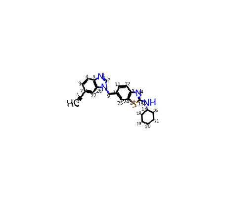 C#Cc1ccc2ncn(Cc3ccc4nc(NC5CCCCC5)sc4c3)c2c1